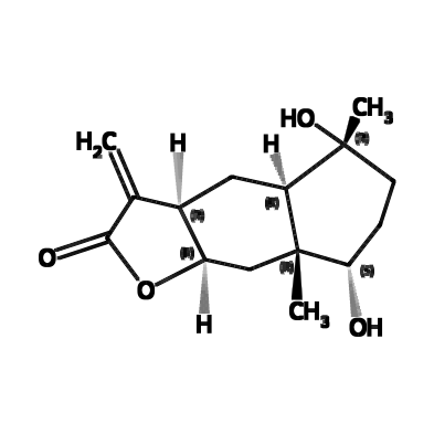 C=C1C(=O)O[C@@H]2C[C@]3(C)[C@@H](C[C@H]12)[C@](C)(O)CC[C@@H]3O